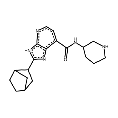 O=C(NC1CCCNC1)c1ccnc2[nH]c(C3CC4CCC3C4)nc12